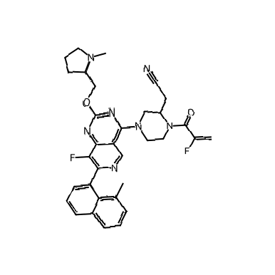 C=C(F)C(=O)N1CCN(c2nc(OCC3CCCN3C)nc3c(F)c(-c4cccc5cccc(C)c45)ncc23)CC1CC#N